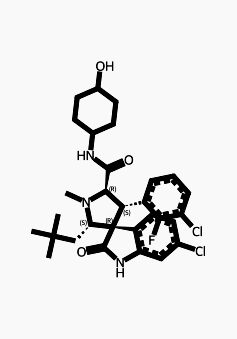 CN1[C@@H](CC(C)(C)C)[C@@]2(C(=O)Nc3cc(Cl)ccc32)[C@@H](c2cccc(Cl)c2F)[C@@H]1C(=O)NC1CCC(O)CC1